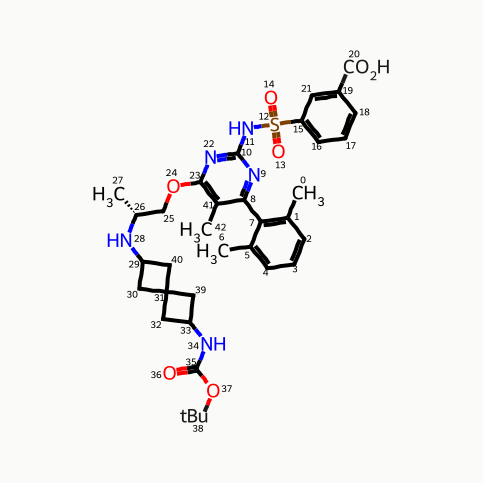 Cc1cccc(C)c1-c1nc(NS(=O)(=O)c2cccc(C(=O)O)c2)nc(OC[C@@H](C)NC2CC3(CC(NC(=O)OC(C)(C)C)C3)C2)c1C